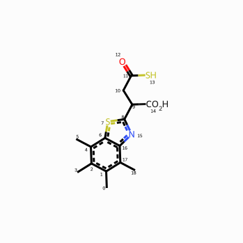 Cc1c(C)c(C)c2sc(C(CC(=O)S)C(=O)O)nc2c1C